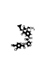 CCn1c(=O)n(CC2CC2)c(=O)c2cc(NC(=O)[C@@H]3COC[C@@H]3NC(=O)c3ccc(C#N)c(Cl)c3)ccc21